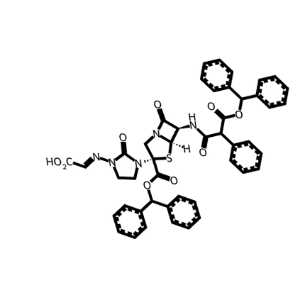 O=C(O)/C=N/N1CCN([C@]2(C(=O)OC(c3ccccc3)c3ccccc3)CN3C(=O)[C@@H](NC(=O)C(C(=O)OC(c4ccccc4)c4ccccc4)c4ccccc4)[C@H]3S2)C1=O